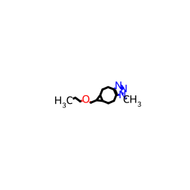 CCCOCC1C2CCc3nnn(C)c3CCC21